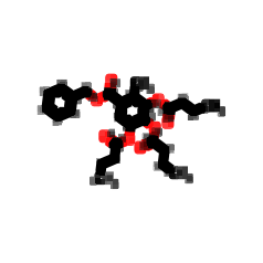 CCCC(=O)Oc1cc(C(=O)OCc2ccccc2)c(C)c(OC(=O)CCC)c1OC(=O)CCC